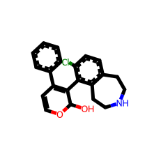 OC1OC=CC(c2ccccc2)=C1c1c(Cl)ccc2c1CCNCC2